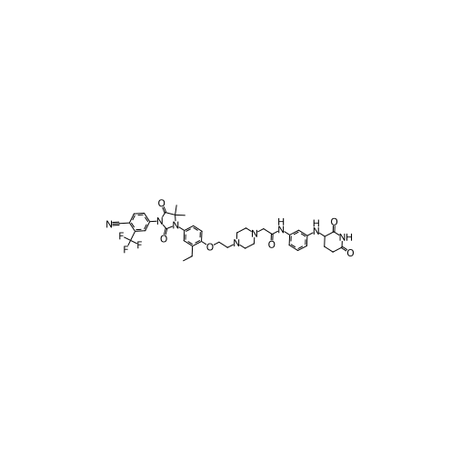 CCc1cc(N2C(=O)N(c3ccc(C#N)c(C(F)(F)F)c3)C(=O)C2(C)C)ccc1OCCN1CCN(CC(=O)Nc2cccc(NC3CCC(=O)NC3=O)c2)CC1